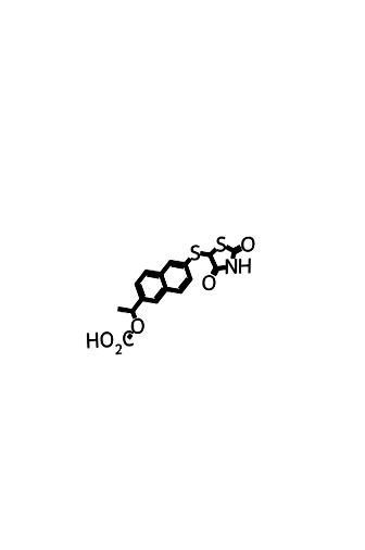 CC(OC(=O)O)c1ccc2cc(SC3SC(=O)NC3=O)ccc2c1